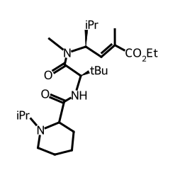 CCOC(=O)/C(C)=C/[C@H](C(C)C)N(C)C(=O)[C@H](NC(=O)C1CCCCN1C(C)C)C(C)(C)C